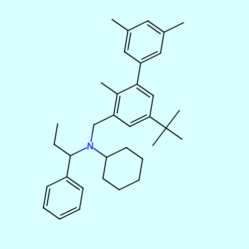 CCC(c1ccccc1)N(Cc1cc(C(C)(C)C)cc(-c2cc(C)cc(C)c2)c1C)C1CCCCC1